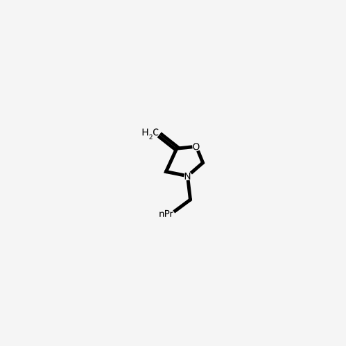 C=C1CN(CCCC)CO1